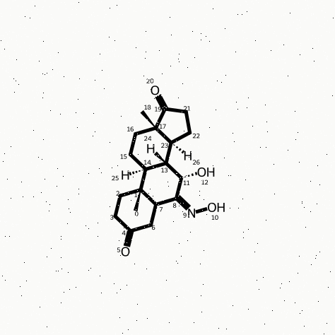 C[C@]12CCC(=O)CC1/C(=N/O)[C@@H](O)[C@@H]1[C@@H]2CC[C@]2(C)C(=O)CC[C@@H]12